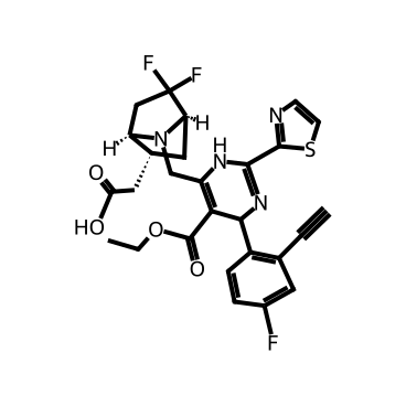 C#Cc1cc(F)ccc1C1N=C(c2nccs2)NC(CN2[C@@H]3CC(F)(F)[C@H]2C[C@@H]3CC(=O)O)=C1C(=O)OCC